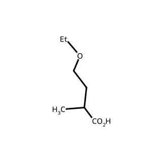 CCOCCC(C)C(=O)O